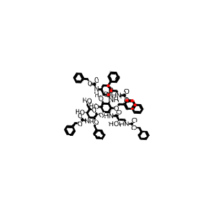 O=C(NCC1CCC(NC(=O)OCc2ccccc2)[C@@H](OC2C(O)[C@@H](O[C@H]3OC(CO)[C@@H](O)[C@H](NC(=O)OCc4ccccc4)C3OCc3ccccc3)[C@H](NC(=O)[C@@H](O)CNC(=O)OCc3ccccc3)C(OCc3ccccc3)[C@@H]2NC(=O)OCc2ccccc2)O1)OCc1ccccc1